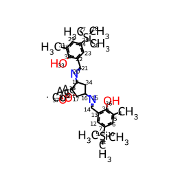 CC(=O)[O-].CC(=O)[O-].Cc1cc([Si](C)(C)C)cc(C=NC2CCC(N=Cc3cc([Si](C)(C)C)cc(C)c3O)C2)c1O.[Co+2]